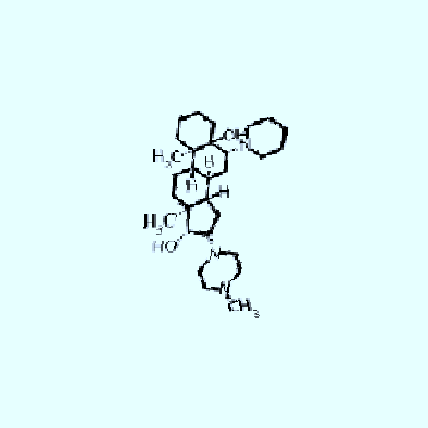 CN1CCN([C@H]2C[C@H]3[C@@H]4C[C@@H](N5CCCCC5)[C@@]5(O)CCCC[C@]5(C)[C@H]4CC[C@]3(C)[C@H]2O)CC1